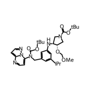 COCO[C@H]1CN(C(=O)OC(C)(C)C)C[C@@H]1Nc1cc(CN(C(=O)OC(C)(C)C)c2ccnc3ccnn23)cc(C(C)C)c1